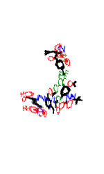 CC(C)Oc1cc(-n2nc(C(C)(C)C)oc2=O)c(Cl)cc1Cl.CCc1cccc(C)c1N(C(=O)CCl)C(C)COC.CP(=O)(O)CCC(N)C(=O)O.CS(=O)(=O)c1cc(C(F)(F)F)ccc1C(=O)c1cnoc1C1CC1